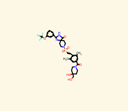 Cc1cc(C(=O)N2CCC(O)(CO)CC2)cc(C)c1/C=C/S(=O)(=O)N1CCC2(CC1)N=C(c1cccc(OC(F)(F)F)c1)NC2=O